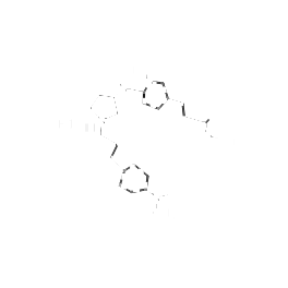 CN(C)c1ccc(C=CCN2CC[C@@H](Nc3ccc(C=CC(=O)NO)cn3)C2)cc1.Cl.Cl.Cl